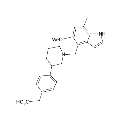 COc1cc(C)c2[nH]ccc2c1CN1CCCC(c2ccc(CC(=O)O)cc2)C1